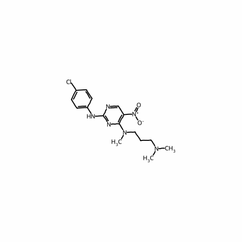 CN(C)CCCN(C)c1nc(Nc2ccc(Cl)cc2)ncc1[N+](=O)[O-]